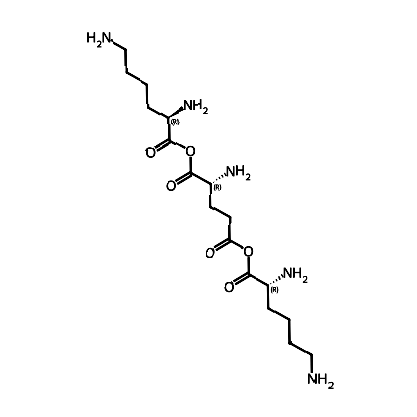 NCCCC[C@@H](N)C(=O)OC(=O)CC[C@@H](N)C(=O)OC(=O)[C@H](N)CCCCN